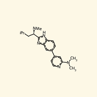 CN[C@H](CC(C)C)c1nc2cc(-c3ccnc(N(C)C)c3)ccc2[nH]1